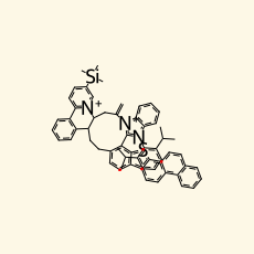 C=C1CC2C(CCc3ccc4c(sc5c4ccc4c6ccccc6ccc45)c3-c3n(-c4c(C(C)C)cccc4C(C)C)c4ccccc4[n+]31)c1ccccc1-c1ccc([Si](C)(C)C)c[n+]12